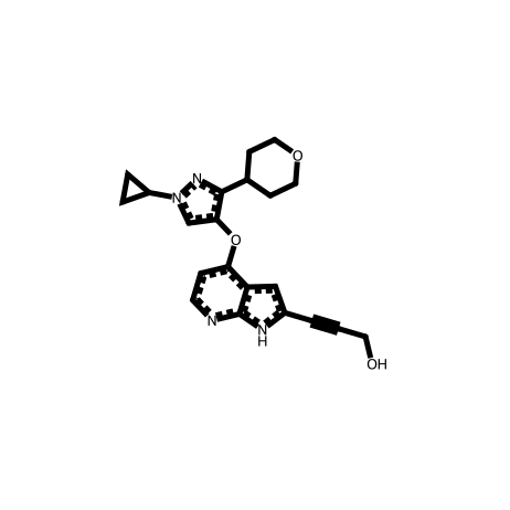 OCC#Cc1cc2c(Oc3cn(C4CC4)nc3C3CCOCC3)ccnc2[nH]1